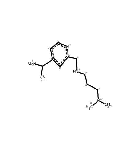 CNC(C#N)c1ccnc(CNCCCN(C)C)c1